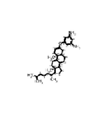 CC(C)CCC[C@@H](C)[C@H]1CCC2C3CCC4CC(Oc5cc(N)cc(N)c5)=CC[C@]4(C)C3CC[C@@]21C